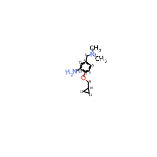 CN(C)Cc1ccc(OCC2CC2)c(N)c1